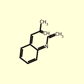 C=C/N=C1/C=CC=C/C1=C/C(=C)C